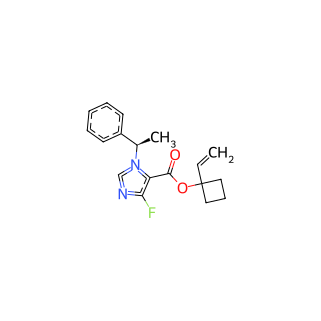 C=CC1(OC(=O)c2c(F)ncn2[C@H](C)c2ccccc2)CCC1